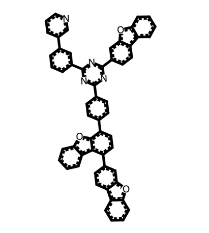 c1cncc(-c2cccc(-c3nc(-c4ccc(-c5ccc(-c6ccc7c(c6)oc6ccccc67)c6c5oc5ccccc56)cc4)nc(-c4ccc5c(c4)oc4ccccc45)n3)c2)c1